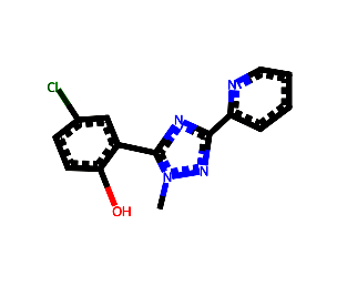 Cn1nc(-c2ccccn2)nc1-c1cc(Cl)ccc1O